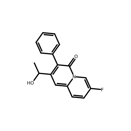 CC(O)c1cc2ccc(F)cn2c(=O)c1-c1ccccc1